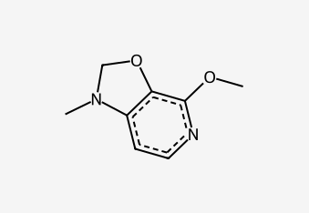 COc1nccc2c1OCN2C